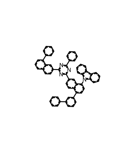 c1ccc(-c2cccc(-c3ccc(-n4c5ccccc5c5ccccc54)c4cc(-c5nc(-c6ccccc6)nc(-c6ccc7cccc(-c8ccccc8)c7c6)n5)ccc34)c2)cc1